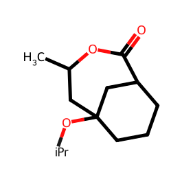 CC(C)OC12CCCC(C1)C(=O)OC(C)C2